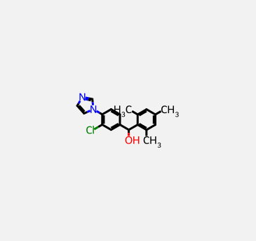 Cc1cc(C)c(C(O)c2ccc(-n3ccnc3)c(Cl)c2)c(C)c1